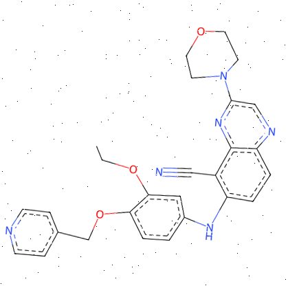 CCOc1cc(Nc2ccc3ncc(N4CCOCC4)nc3c2C#N)ccc1OCc1ccncc1